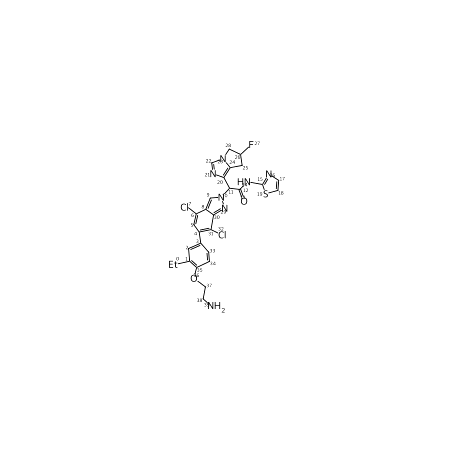 CCc1cc(-c2cc(Cl)c3cn(C(C(=O)Nc4nccs4)c4ncn5c4CC(F)C5)nc3c2Cl)ccc1OCCN